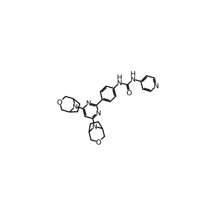 O=C(Nc1ccncc1)Nc1ccc(-c2nc(N3C4CCC3COC4)cc(N3C4CCC3COC4)n2)cc1